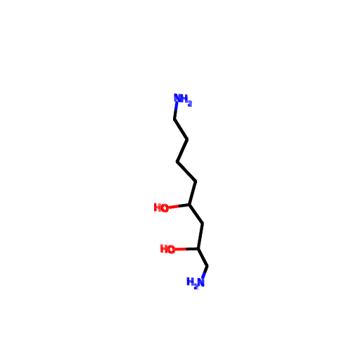 NCCCCC(O)CC(O)CN